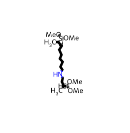 CO[SiH](OC)C(C)CCCCCCCNCCC(C)[SiH](OC)OC